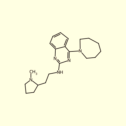 CN1CCCC1CCNc1nc(N2CCCCCC2)c2ccccc2n1